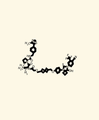 Cc1ncsc1-c1ccc(CNC(=O)[C@@H]2CCCN2C(=O)[C@@H](NC(=O)COCC2CC3(C2)CC(COc2ccc(N4C(=S)N(c5ccc(C#N)c(C(F)(F)F)c5)C(O)C45CCC5)cc2)C3)C(C)(C)C)cc1